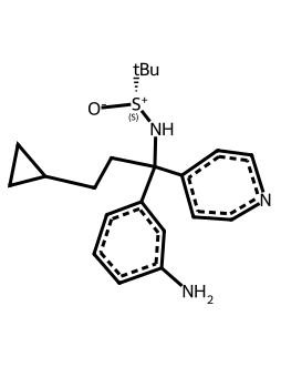 CC(C)(C)[S@@+]([O-])NC(CCC1CC1)(c1ccncc1)c1cccc(N)c1